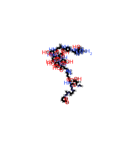 C/C=C/[C@@H]1O[C@H]([C@@H](/C=C/C=C(\C)C[C@@H](C)/C=C(C)\C=C\[C@H]2CC=CC(=O)O2)NC(=O)OCCc2cn(CCC[C@H](NC(=O)[C@@H](CC(=O)O)NC(=O)[C@@H](CC(=O)O)NC(=O)[C@@H](CC(=O)O)NC(=O)[C@@H](CC(=O)O)NC(=O)[C@@H](CC(=O)O)NC(=O)CC[C@@H](C)NC(=O)c3ccc(NCc4cnc5nc(N)nc(O)c5n4)cc3)C(=O)O)nn2)C[C@@H](O)[C@@H]1C